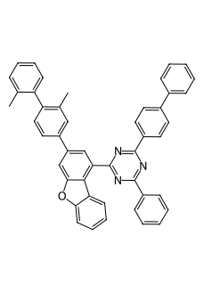 Cc1ccccc1-c1ccc(-c2cc(-c3nc(-c4ccccc4)nc(-c4ccc(-c5ccccc5)cc4)n3)c3c(c2)oc2ccccc23)cc1C